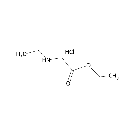 CCNCC(=O)OCC.Cl